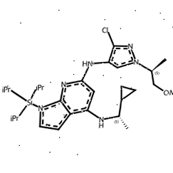 COC[C@H](C)n1cc(Nc2cc(N[C@@H](C)C3CC3)c3ccn([Si](C(C)C)(C(C)C)C(C)C)c3n2)c(Cl)n1